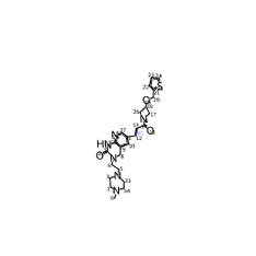 CN1CCN(CCN2Cc3cc(/C=C/C(=O)N4CC(OCc5cccs5)C4)cnc3NC2=O)CC1